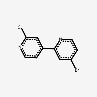 Clc1cc(-c2cc(Br)ccn2)ccn1